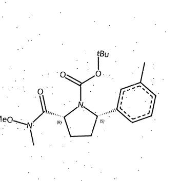 CON(C)C(=O)[C@H]1CC[C@@H](c2cccc(C)c2)N1C(=O)OC(C)(C)C